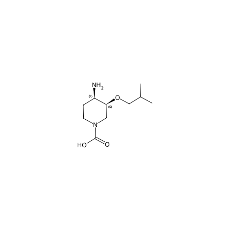 CC(C)CO[C@H]1CN(C(=O)O)CC[C@H]1N